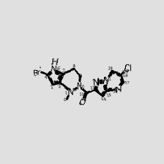 CN1c2cc(Br)[nH]c2CCN1C(=O)c1cc2ncc(Cl)cn2n1